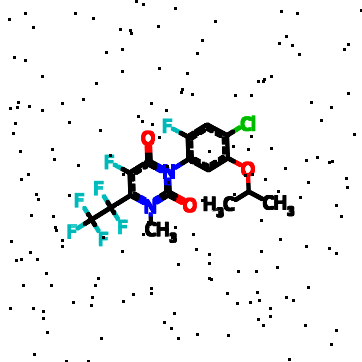 CC(C)Oc1cc(-n2c(=O)c(F)c(C(F)(F)C(F)(F)F)n(C)c2=O)c(F)cc1Cl